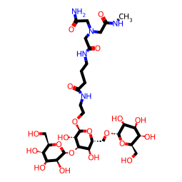 CNC(=O)CN(CC(N)=O)CC(=O)NCCCC(=O)NCCO[C@H]1O[C@H](CO[C@H]2O[C@H](CO)[C@@H](O)[C@H](O)[C@@H]2O)[C@@H](O)[C@H](O[C@H]2O[C@H](CO)[C@@H](O)[C@H](O)[C@@H]2O)[C@@H]1O